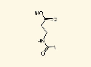 O=C(O)CCNC(=O)I